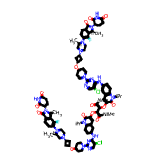 CNC(=O)C(Oc1cc2cc(Nc3nc(N4CCC(O[C@H]5C[C@H](N6CCN(c7ccc8c(c7F)C(C)N([C@H]7CCC(=O)NC7=O)C8=O)[C@H](C)C6)C5)CC4)ncc3Cl)ccc2n(C(C)C)c1=O)C(Oc1cc2cc(Nc3nc(N4CCC(O[C@H]5C[C@H](N6CCN(c7ccc8c(c7F)[C@H](C)N([C@@H]7CCC(=O)NC7=O)C8=O)[C@H](C)C6)C5)CC4)ncc3Cl)ccc2n(C(C)C)c1=O)C(=O)NC